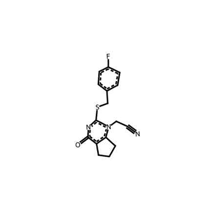 N#CCn1c(SCc2ccc(F)cc2)nc(=O)c2c1CCC2